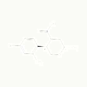 Cc1cc(Br)ccc1[C@@H]1CO[C@@H](C)CN1C(=O)O